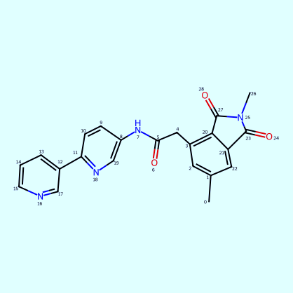 Cc1cc(CC(=O)Nc2ccc(-c3cccnc3)nc2)c2c(c1)C(=O)N(C)C2=O